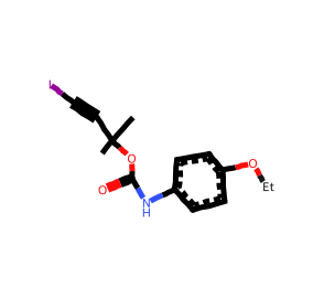 CCOc1ccc(NC(=O)OC(C)(C)C#CI)cc1